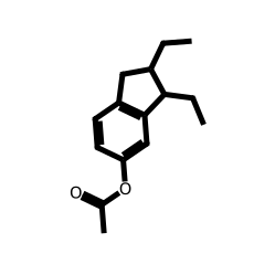 CCC1Cc2ccc(OC(C)=O)cc2C1CC